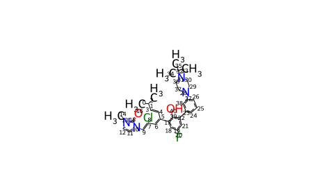 CC(C)/C=C/C(=C\C(Cl)=C\n1ccn(C)c1=O)c1cc(F)cc(-c2cccc(N3CCN(C(C)(C)C)CC3)c2)c1O